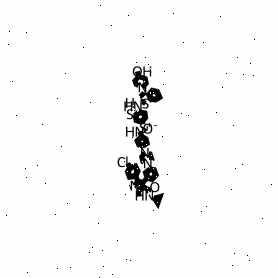 Cc1c(C(=O)NC2CC2)c(-c2cccc(N3CCN(c4ccc(N[S+]([O-])c5ccc(N[C@H](CCN6CCC(O)CC6)Sc6ccccc6)c(S)c5)cc4)CC3)c2)c(-c2ccc(Cl)cc2)n1C